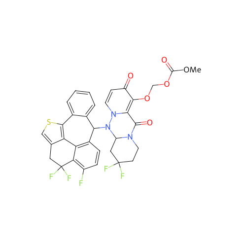 COC(=O)OCOc1c2n(ccc1=O)N(C1c3ccccc3-c3scc4c3-c3c1ccc(F)c3C(F)(F)C4)C1CC(F)(F)CCN1C2=O